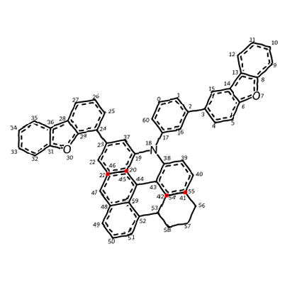 c1cc(-c2ccc3oc4ccccc4c3c2)cc(N(c2cccc(-c3cccc4c3oc3ccccc34)c2)c2ccccc2-c2cccc3cccc(C4CCCCC4)c23)c1